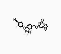 CN1CCn2c1cc(OCc1ccc(Oc3ccc(C#N)c(F)c3)c(C(F)(F)F)c1)nc2=O